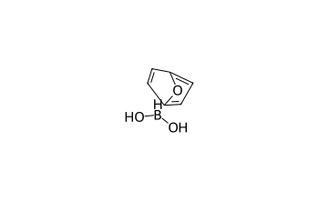 OBO.c1cc2ccc1o2